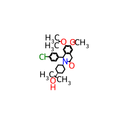 COc1cc2c(cc1OC(C)C)C(c1ccc(Cl)cc1)N([C@H]1CC[C@H](C(C)(C)O)CC1)C(=O)C2